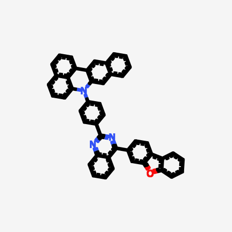 c1ccc2cc3c(cc2c1)-c1cccc2cccc(c12)N3c1ccc(-c2nc(-c3ccc4c(c3)oc3ccccc34)c3ccccc3n2)cc1